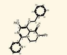 CC(C)N1CCN2C(c3ccccn3)=NC(O)=C(OCc3ccccc3)C2C1=O